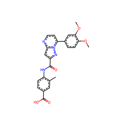 COc1ccc(-c2ccnc3cc(C(=O)Nc4ccc(C(=O)O)cc4C)nn23)cc1OC